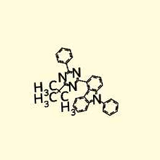 CC(C)(C)c1nc(-c2ccccc2)nc(-c2cccc3c2c2ccccc2n3-c2ccccc2)n1